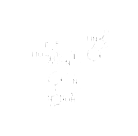 CN(C(=O)Cc1ccc2sc(=O)[nH]c2c1)[C@H](CN1CC[C@H](O)C1)c1cccc(-c2ncon2)c1.O=C(O)C(F)(F)F